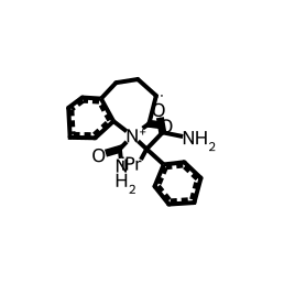 CC(C)C(C(N)=O)(c1ccccc1)[N+]1(C(N)=O)C(=O)[CH]CCc2ccccc21